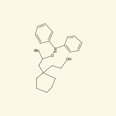 CC(C)(C)C(CC1(CCO)CCCCC1)O[SiH](c1ccccc1)c1ccccc1